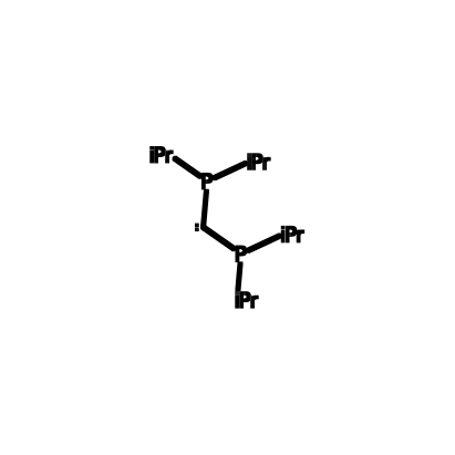 CC(C)P([C]P(C(C)C)C(C)C)C(C)C